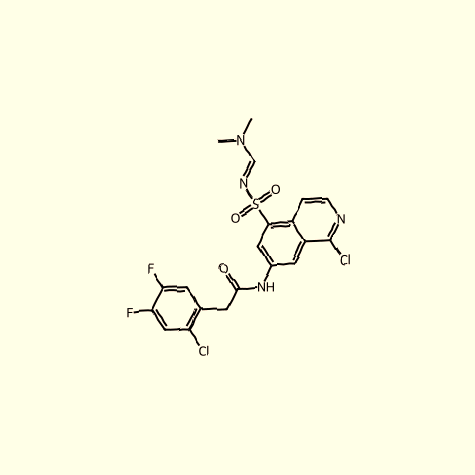 CN(C)C=NS(=O)(=O)c1cc(NC(=O)Cc2cc(F)c(F)cc2Cl)cc2c(Cl)nccc12